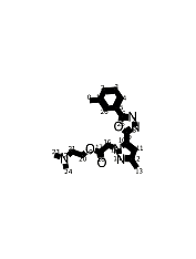 Cc1cccc(-c2nnc(-c3cc(C)nn3CC(=O)OCCN(C)C)o2)c1